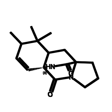 CC1C=C[C@]23NC(=O)C4(CCCN4C2=O)CC3C1(C)C